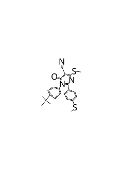 CSc1ccc(-c2nc(SC)c(C#N)c(=O)n2-c2ccc(C(C)(C)C)cc2)cc1